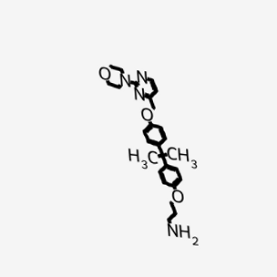 CC(C)(c1ccc(OCCCN)cc1)c1ccc(OCc2ccnc(N3CCOCC3)n2)cc1